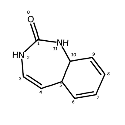 O=C1NC=CC2C=CC=CC2N1